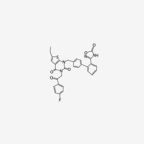 CCc1cc2c(=O)n(CC(=O)c3ccc(F)cc3)c(=O)n(Cc3ccc(-c4ccccc4-c4noc(=O)[nH]4)cc3)c2s1